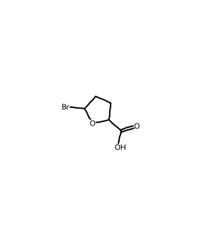 O=C(O)C1CCC(Br)O1